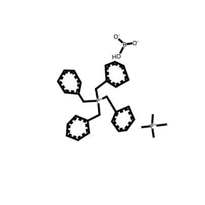 C[P+](C)(C)C.[O-]B([O-])O.c1ccc(C[P+](Cc2ccccc2)(Cc2ccccc2)Cc2ccccc2)cc1